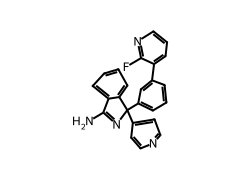 NC1=NC(c2ccncc2)(c2cccc(-c3cccnc3F)c2)c2ccccc21